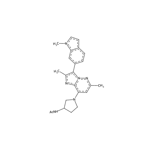 CC(=O)NC1CCN(c2cc(C)nn3c(-c4ccc5ccn(C)c5c4)c(C)nc23)C1